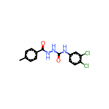 Cc1ccc(C(=O)NNC(=O)Nc2ccc(Cl)c(Cl)c2)cc1